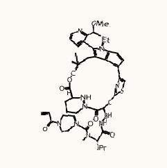 C=CC(=O)N1CCN(C(=O)N(C)[C@H](C(=O)NBC2Cc3nc(cs3)-c3ccc4c(c3)c(c(-c3cccnc3[C@H](C)OC)n4CC)CC(C)(C)COC(=O)[C@@H]3CCCN(N3)C2=O)C(C)C)CC1